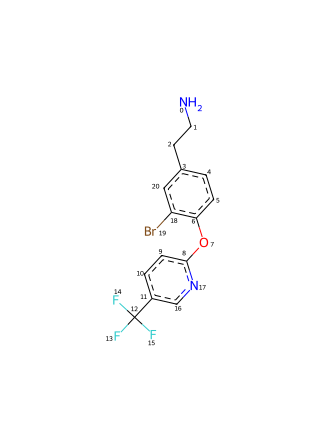 NCCc1ccc(Oc2ccc(C(F)(F)F)cn2)c(Br)c1